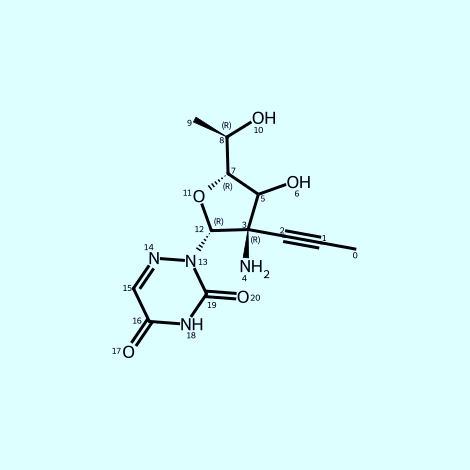 CC#C[C@@]1(N)C(O)[C@@H]([C@@H](C)O)O[C@H]1n1ncc(=O)[nH]c1=O